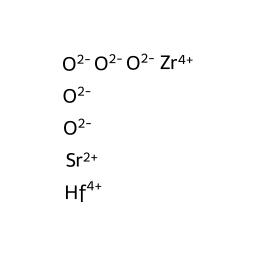 [Hf+4].[O-2].[O-2].[O-2].[O-2].[O-2].[Sr+2].[Zr+4]